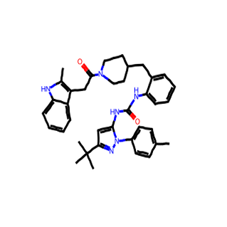 Cc1ccc(-n2nc(C(C)(C)C)cc2NC(=O)Nc2ccccc2CC2CCN(C(=O)Cc3c(C)[nH]c4ccccc34)CC2)cc1